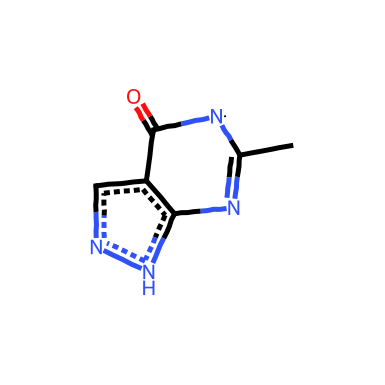 CC1=Nc2[nH]ncc2C(=O)[N]1